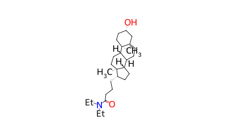 CCN(CC)C(=O)CCC[C@H]1CC[C@H]2[C@@H]3CC=C4C[C@@H](O)CC[C@]4(C)[C@H]3CC[C@]12C